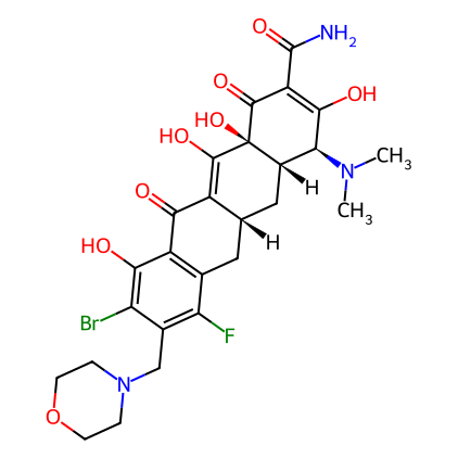 CN(C)[C@@H]1C(O)=C(C(N)=O)C(=O)[C@@]2(O)C(O)=C3C(=O)c4c(O)c(Br)c(CN5CCOCC5)c(F)c4C[C@H]3C[C@@H]12